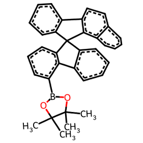 CC1(C)OB(c2cccc3c2-c2ccccc2C32c3ccccc3-c3ccc4ccccc4c32)OC1(C)C